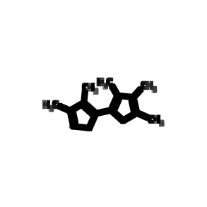 CC1=[C]CC(C2=C(C)C(C)=C(C)C2)=C1C